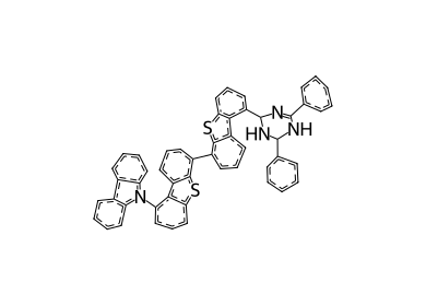 c1ccc(C2=NC(c3cccc4sc5c(-c6cccc7c6sc6cccc(-n8c9ccccc9c9ccccc98)c67)cccc5c34)NC(c3ccccc3)N2)cc1